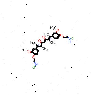 COc1cc(/C(C)=C(\C)C(=O)CC(=O)/C(C)=C(\C)c2ccc(OCCNCl)c(OC)c2)ccc1OCCNCl